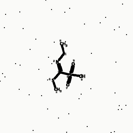 CCN=C(SC)S(=O)(=O)O